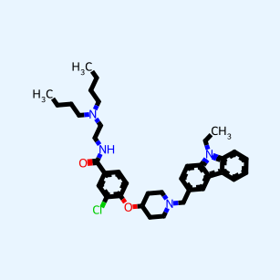 CCCCN(CCCC)CCNC(=O)c1ccc(OC2CCN(Cc3ccc4c(c3)c3ccccc3n4CC)CC2)c(Cl)c1